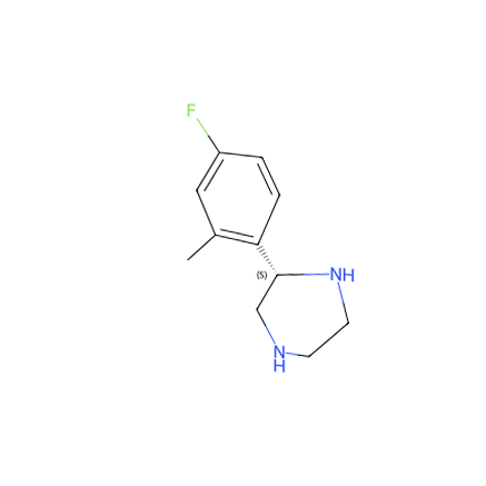 Cc1cc(F)ccc1[C@H]1CNCCN1